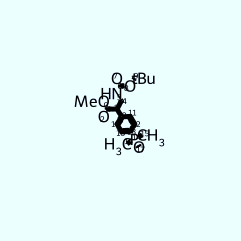 COC(=O)C(CNC(=O)OC(C)(C)C)c1ccc(P(C)(C)=O)cc1